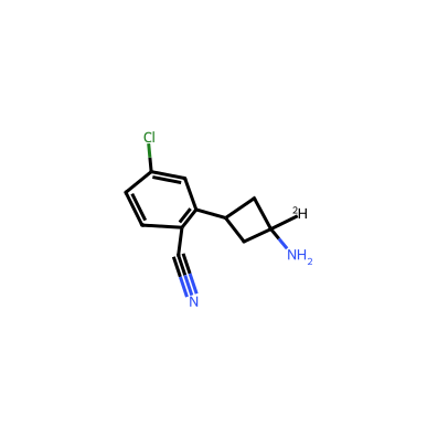 [2H]C1(N)CC(c2cc(Cl)ccc2C#N)C1